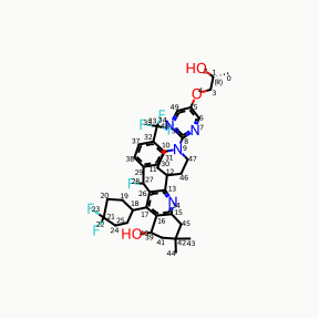 C[C@@H](O)COc1cnc(N2CCC(c3nc4c(c(C5CCC(F)(F)CC5)c3C(F)c3ccc(C(F)(F)F)cc3)C(O)CC(C)(C)C4)CC2)nc1